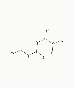 [CH2]CCC(C)CC(C)C(C)C